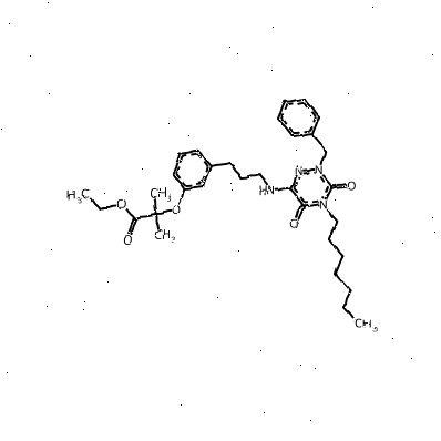 CCCCCCCn1c(=O)c(NCCCc2cccc(OC(C)(C)C(=O)OCC)c2)nn(Cc2ccccc2)c1=O